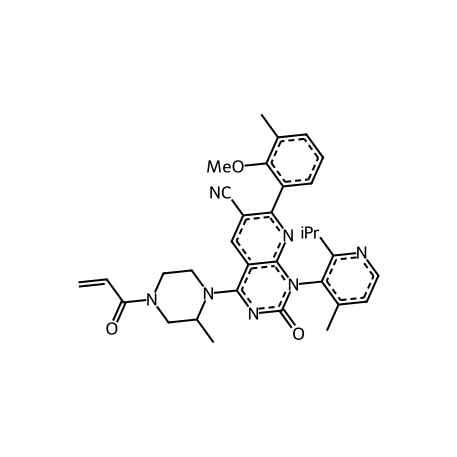 C=CC(=O)N1CCN(c2nc(=O)n(-c3c(C)ccnc3C(C)C)c3nc(-c4cccc(C)c4OC)c(C#N)cc23)C(C)C1